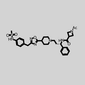 CC(=O)N1CC(C(=O)N[C@@H](CCN2CCC(c3nc(Cc4ccc(NS(C)(=O)=O)cc4)no3)CC2)c2ccccc2)C1